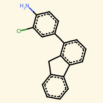 Nc1ccc(-c2cccc3c2Cc2ccccc2-3)cc1Cl